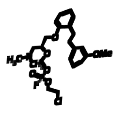 COc1cccc(CCc2ccccc2OC[C@H](CN(C)C)OCO[P@](=O)(F)OCCCl)c1